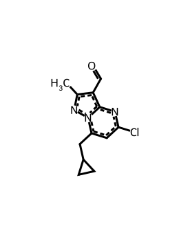 Cc1nn2c(CC3CC3)cc(Cl)nc2c1C=O